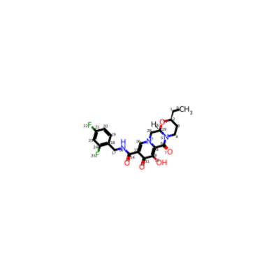 CC[C@H]1CCN2C(=O)c3c(O)c(=O)c(C(=O)NCc4ccc(F)cc4F)cn3C[C@H]2O1